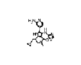 CN1CC(CC2CC2)c2[nH]c(-c3ccnc(N)c3)c(Nc3cscn3)c2C1=O